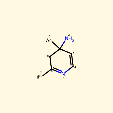 CC(=O)C1(N)C=CN=C(C(C)C)C1